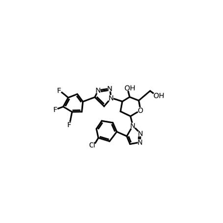 OCC1OC(n2nncc2-c2cccc(Cl)c2)CC(n2cc(-c3cc(F)c(F)c(F)c3)nn2)C1O